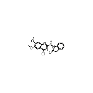 COc1cc2nc(NN3C(=O)Cc4ccccc43)nc(Cl)c2cc1OC